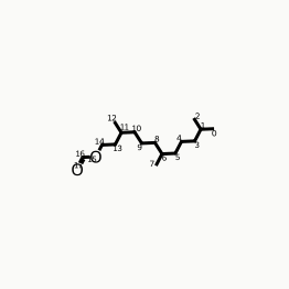 CC(C)CCCC(C)CCCC(C)CCO[C]=O